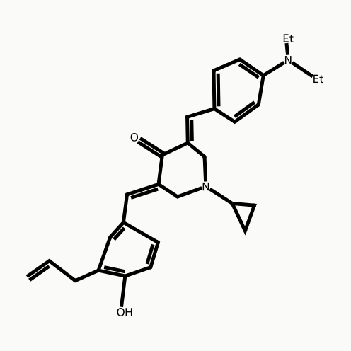 C=CCc1cc(/C=C2\CN(C3CC3)C/C(=C\c3ccc(N(CC)CC)cc3)C2=O)ccc1O